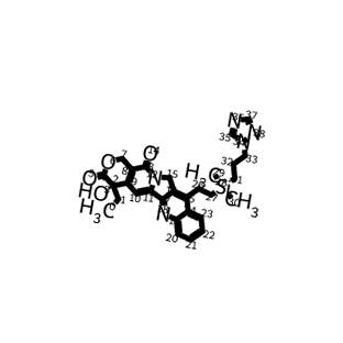 CC[C@@]1(O)C(=O)OCc2c1cc1n(c2=O)Cc2c-1nc1ccccc1c2CC[Si](C)(C)CCCn1cncn1